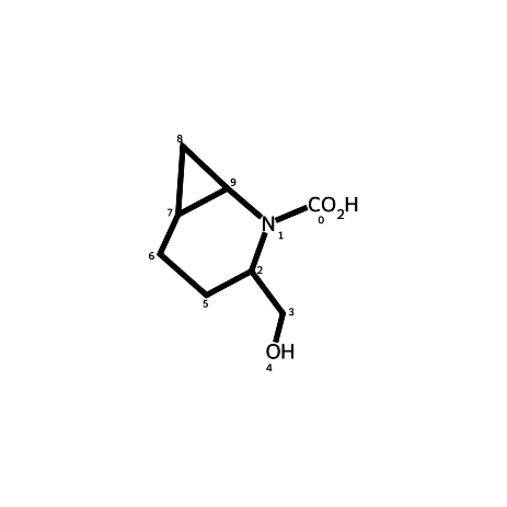 O=C(O)N1C(CO)CCC2CC21